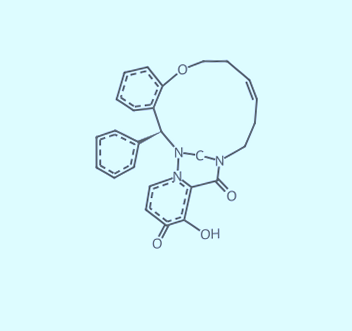 O=C1c2c(O)c(=O)ccn2N2CN1CC/C=C\CCOc1ccccc1[C@@H]2c1ccccc1